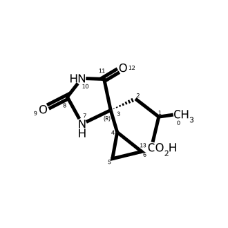 CC(C[C@]1(C2CC2)NC(=O)NC1=O)C(=O)O